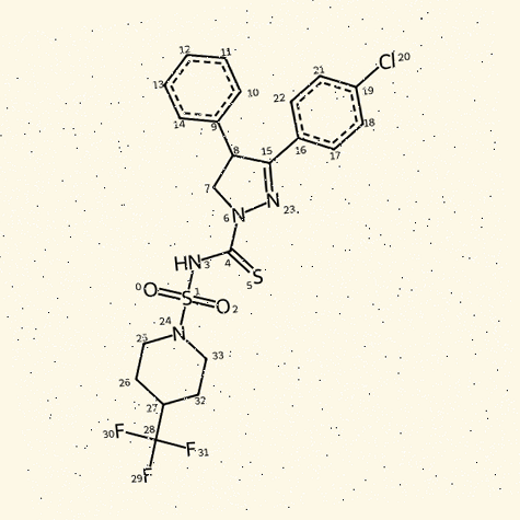 O=S(=O)(NC(=S)N1CC(c2ccccc2)C(c2ccc(Cl)cc2)=N1)N1CCC(C(F)(F)F)CC1